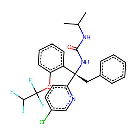 CC(C)NC(=O)N[C@](Cc1ccccc1)(c1ccc(Cl)cn1)c1ccccc1OC(F)(F)C(F)F